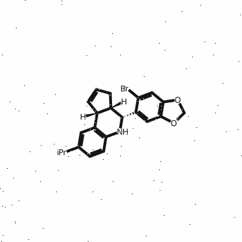 CC(C)c1ccc2c(c1)[C@@H]1C=CC[C@@H]1[C@H](c1cc3c(cc1Br)OCO3)N2